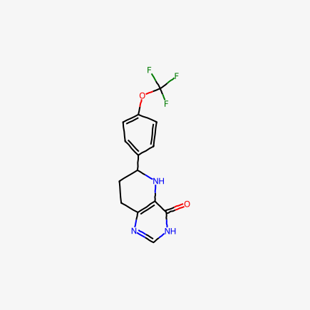 O=c1[nH]cnc2c1NC(c1ccc(OC(F)(F)F)cc1)CC2